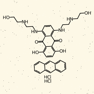 Cl.Cl.O=C1c2c(O)ccc(O)c2C(=O)c2c(NCCNCCO)ccc(NCCNCCO)c21.c1ccc2cc3ccccc3cc2c1